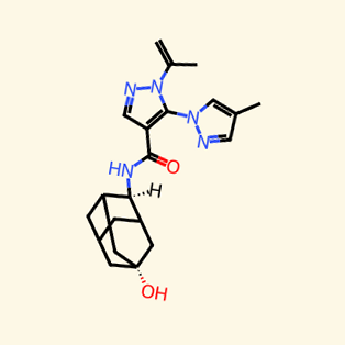 C=C(C)n1ncc(C(=O)N[C@H]2C3CC4CC2C[C@](O)(C4)C3)c1-n1cc(C)cn1